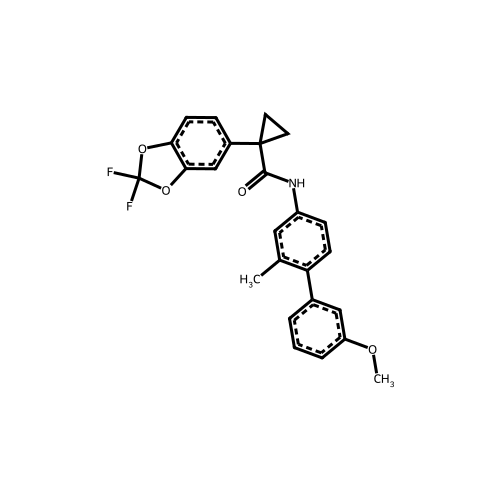 COc1cccc(-c2ccc(NC(=O)C3(c4ccc5c(c4)OC(F)(F)O5)CC3)cc2C)c1